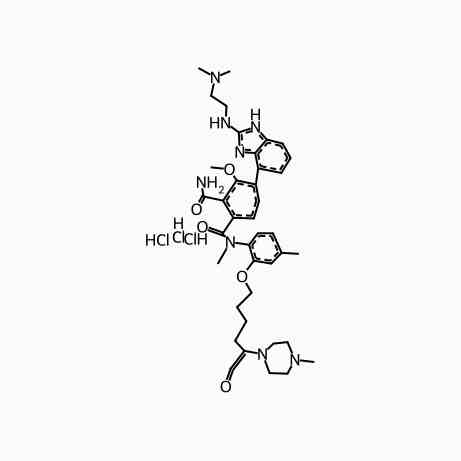 COc1c(-c2cccc3[nH]c(NCCN(C)C)nc23)ccc(C(=O)N(C)c2ccc(C)cc2OCCCCC(=C=O)N2CCN(C)CC2)c1C(N)=O.Cl.Cl.Cl